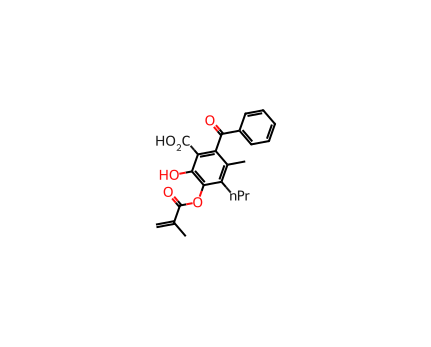 C=C(C)C(=O)Oc1c(O)c(C(=O)O)c(C(=O)c2ccccc2)c(C)c1CCC